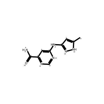 Cc1cc(Nc2cc(C(N)=O)ncn2)n[nH]1